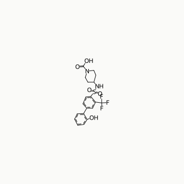 O=C(O)N1CCC(NS(=O)(=O)c2ccc(-c3ccccc3O)cc2C(F)(F)F)CC1